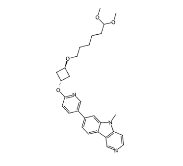 COC(CCCCCO[C@H]1C[C@H](Oc2ccc(-c3ccc4c5cnccc5n(C)c4c3)cn2)C1)OC